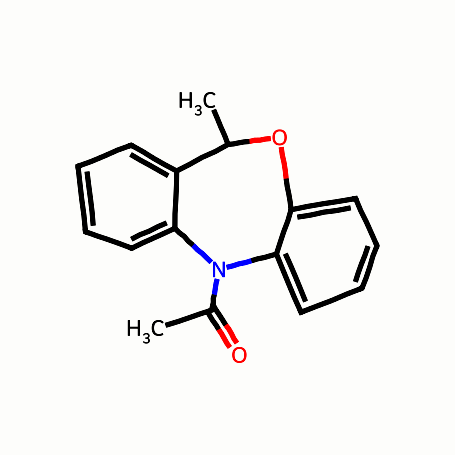 CC(=O)N1c2ccccc2OC(C)c2ccccc21